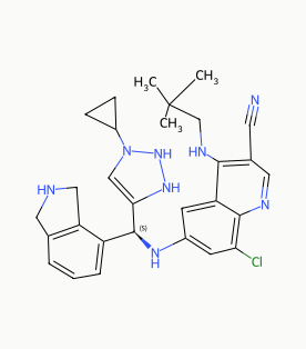 CC(C)(C)CNc1c(C#N)cnc2c(Cl)cc(N[C@H](C3=CN(C4CC4)NN3)c3cccc4c3CNC4)cc12